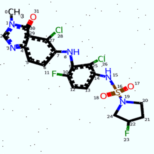 Cn1cnc2ccc(Nc3c(F)ccc(NS(=O)(=O)N4CCC(F)C4)c3Cl)c(Cl)c2c1=O